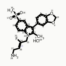 Cc1c(-c2ccc3c(c2)OCO3)c2cc(S(C)(=O)=O)ccc2n1C/C(F)=C/CN.Cl